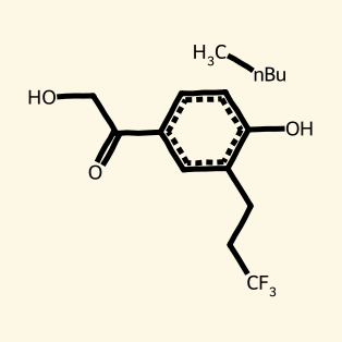 CCCCC.O=C(CO)c1ccc(O)c(CCC(F)(F)F)c1